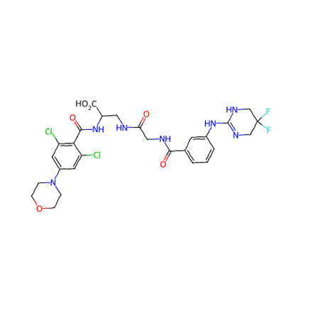 O=C(CNC(=O)c1cccc(NC2=NCC(F)(F)CN2)c1)NCC(NC(=O)c1c(Cl)cc(N2CCOCC2)cc1Cl)C(=O)O